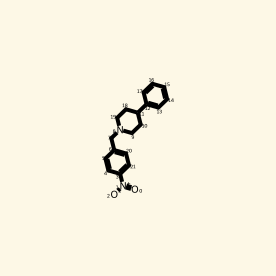 O=[N+]([O-])c1ccc(CN2CCC(c3ccccc3)CC2)cc1